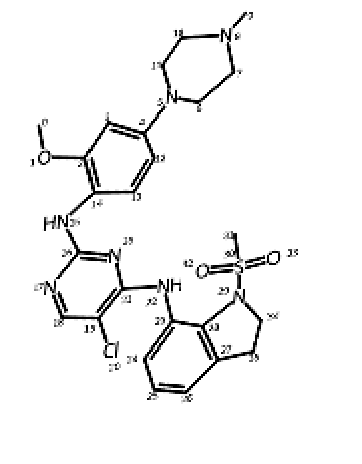 COc1cc(N2CCN(C)CC2)ccc1Nc1ncc(Cl)c(Nc2cccc3c2N(S(C)(=O)=O)CC3)n1